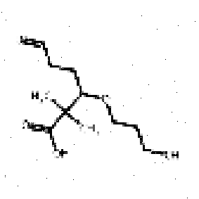 CCCCOC(CCC=O)C(C)(C)C(=O)O